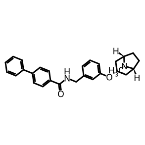 CN1[C@@H]2CC[C@H]1C[C@@H](Oc1cccc(CNC(=O)c3ccc(-c4ccccc4)cc3)c1)C2